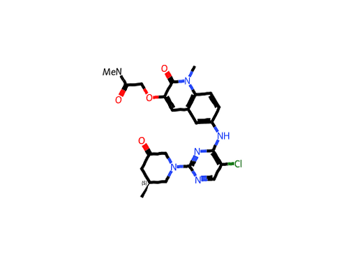 CNC(=O)COc1cc2cc(Nc3nc(N4CC(=O)C[C@H](C)C4)ncc3Cl)ccc2n(C)c1=O